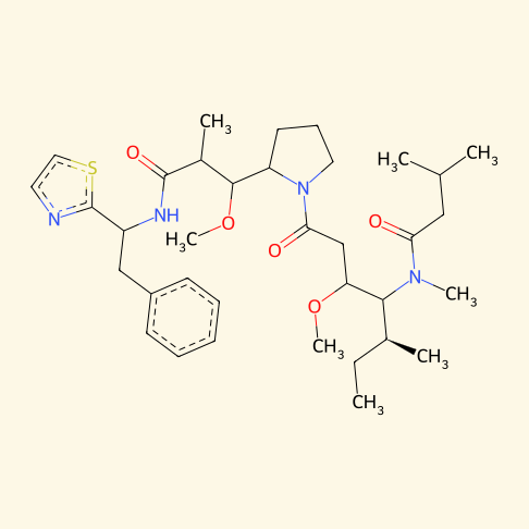 CC[C@H](C)C(C(CC(=O)N1CCCC1C(OC)C(C)C(=O)NC(Cc1ccccc1)c1nccs1)OC)N(C)C(=O)CC(C)C